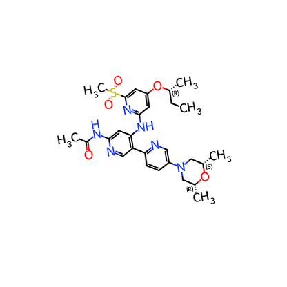 CC[C@@H](C)Oc1cc(Nc2cc(NC(C)=O)ncc2-c2ccc(N3C[C@@H](C)O[C@@H](C)C3)cn2)nc(S(C)(=O)=O)c1